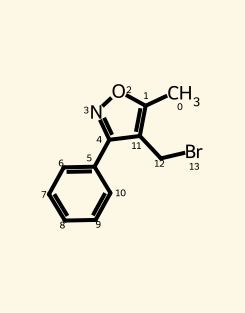 Cc1onc(-c2ccccc2)c1CBr